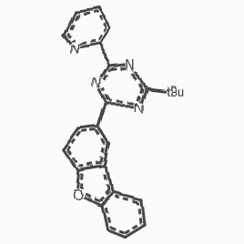 CC(C)(C)c1nc(-c2ccc3oc4ccccc4c3c2)nc(-c2ccccn2)n1